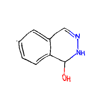 OC1NN=Cc2c[c]ccc21